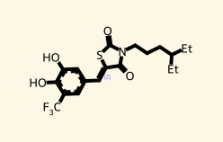 CCC(CC)CCCN1C(=O)S/C(=C\c2cc(O)c(O)c(C(F)(F)F)c2)C1=O